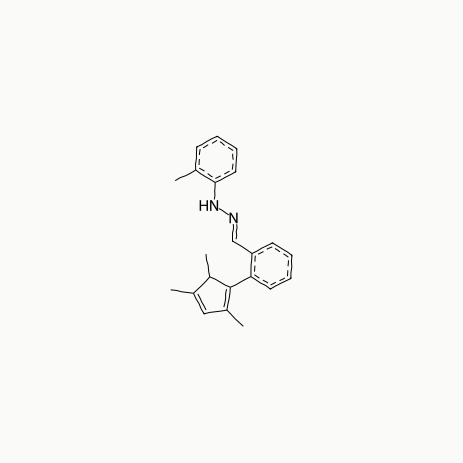 CC1=CC(C)=C(c2ccccc2/C=N/Nc2ccccc2C)C1C